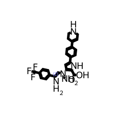 N/C(=C\N(N)c1cc(-c2ccc(C3=CCNCC3)cc2)[nH]c1C(=O)O)c1ccc(C(F)(F)F)cc1